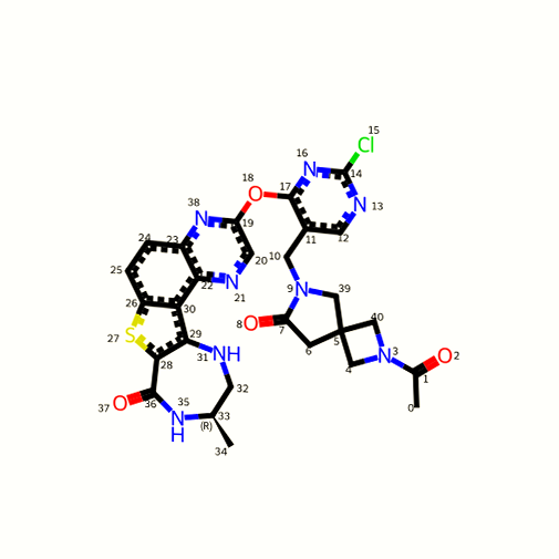 CC(=O)N1CC2(CC(=O)N(Cc3cnc(Cl)nc3Oc3cnc4c(ccc5sc6c(c54)NC[C@@H](C)NC6=O)n3)C2)C1